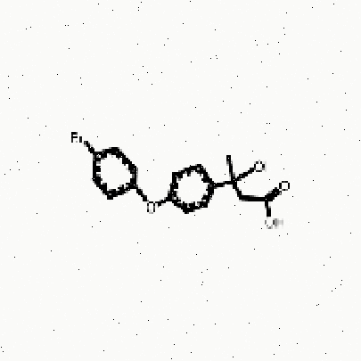 CC(O)(CC(=O)O)c1ccc(Oc2ccc(Br)cc2)cc1